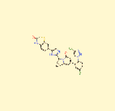 O=C1CSc2cc(-c3cnc(C4C5CC5c5cc(-c6cc(Cl)ccc6-n6cc(Cl)nn6)cc(=O)n54)[nH]3)ccc2N1